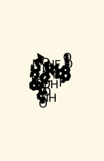 C#Cc1c(F)ccc2cc(OCOC)cc(-c3ncc4c(N5CCC[C@@](C)(O)C5)nc(OCC5(CN6CCC7(CC6)CCN(c6cccc8c(C9CCC(=O)NC9=O)noc68)CC7)CC5)nc4c3F)c12